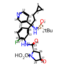 CC(C)(C)[S@@+]([O-])NC(CCC1CC1)(c1ccncc1)c1ccc(F)c(NC(=O)[C@H]2CC(=O)CN2C(=O)O)c1